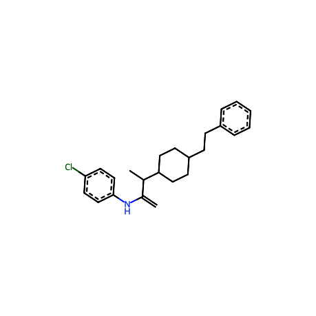 C=C(Nc1ccc(Cl)cc1)C(C)C1CCC(CCc2ccccc2)CC1